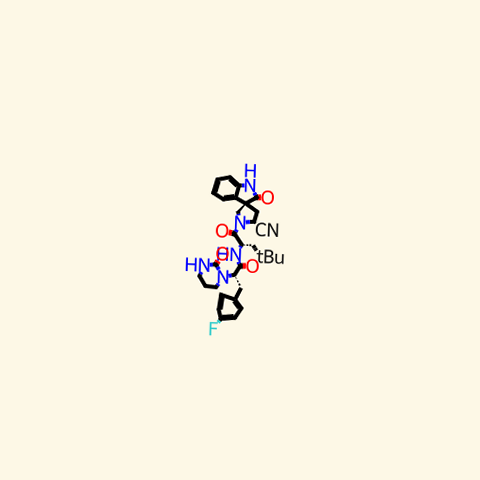 CC(C)(C)C[C@H](NC(=O)[C@H](Cc1ccc(F)cc1)N1CCCNC1=O)C(=O)N1C[C@]2(C[C@H]1C#N)C(=O)Nc1ccccc12